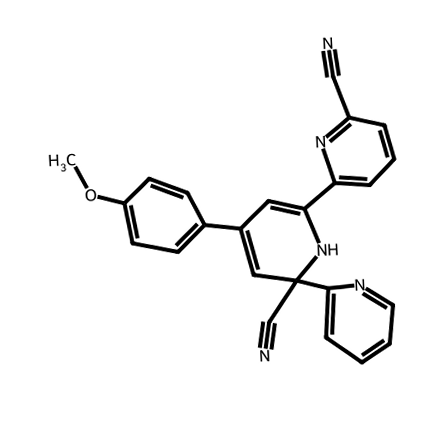 COc1ccc(C2=CC(C#N)(c3ccccn3)NC(c3cccc(C#N)n3)=C2)cc1